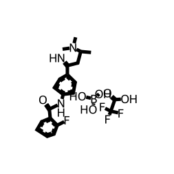 CC(CC(=N)c1ccc(NC(=O)c2ccccc2F)cc1)N(C)C.O=C(O)C(F)(F)F.OB(O)O